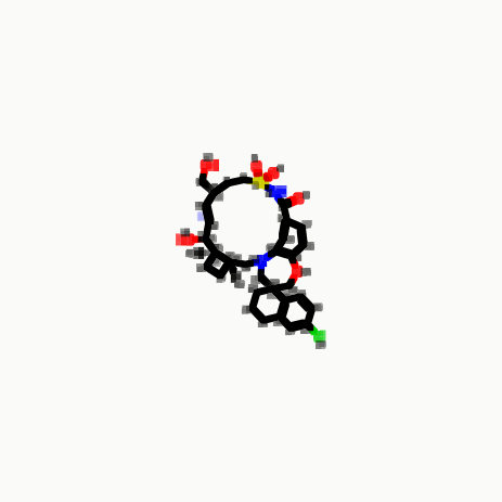 O=C1NS(=O)(=O)CC[C@H](CO)/C=C/[C@H](O)[C@@H]2CC[C@H]2CN2C[C@@]3(CCCc4cc(Cl)ccc43)COc3ccc1cc32